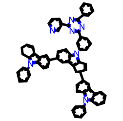 C1=Cc2c(n(-c3ccccc3)c3ccc(-c4ccc5c(c4)c4c(n5-c5cccc(-c6nc(-c7ccccc7)nc(-c7cccnc7)n6)c5)C=CC(c5ccc6c(c5)c5ccccc5n6-c5ccccc5)C4)cc23)CC1